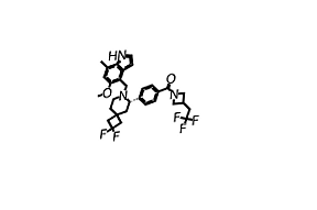 COc1cc(C)c2[nH]ccc2c1CN1CCC2(C[C@H]1c1ccc(C(=O)N3CC(CC(F)(F)F)C3)cc1)CC(F)(F)C2